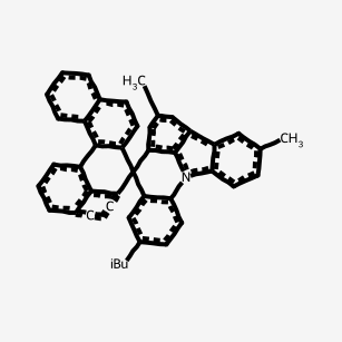 CCC(C)c1ccc2c(c1)C1(c3ccc4ccccc4c3-c3cccc4cccc1c34)c1cc(C)cc3c4cc(C)ccc4n-2c13